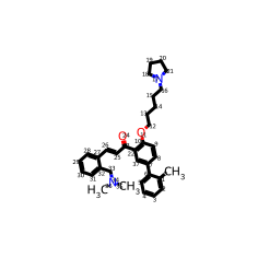 Cc1ccccc1-c1ccc(OCCCCCN2CCCC2)c(C(=O)/C=C/c2ccccc2CN(C)C)c1